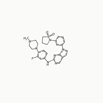 CN1CCN(c2ccc(Nc3ncc4ccn(-c5cccc(N6CCCS6(=O)=O)c5)c4n3)cc2F)CC1